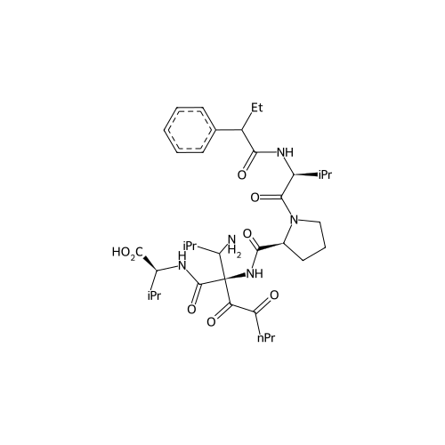 CCCC(=O)C(=O)[C@](NC(=O)[C@@H]1CCCN1C(=O)[C@@H](NC(=O)C(CC)c1ccccc1)C(C)C)(C(=O)N[C@H](C(=O)O)C(C)C)C(N)C(C)C